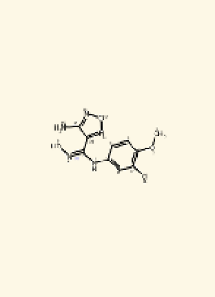 COc1ccc(N/C(=N/O)c2nonc2N)cc1Cl